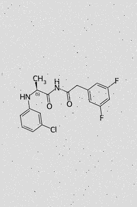 C[C@H](Nc1cccc(Cl)c1)C(=O)NC(=O)Cc1cc(F)cc(F)c1